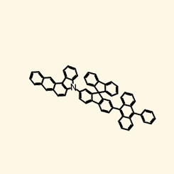 c1ccc(-c2c3ccccc3c(-c3ccc4c(c3)C3(c5ccccc5-c5ccccc53)c3cc(-n5c6ccccc6c6c7cc8ccccc8cc7ccc65)ccc3-4)c3ccccc23)cc1